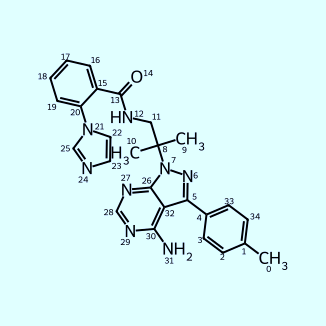 Cc1ccc(-c2nn(C(C)(C)CNC(=O)c3ccccc3-n3ccnc3)c3ncnc(N)c23)cc1